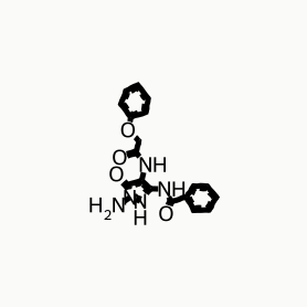 Nn1[nH]c(NC(=O)c2ccccc2)c(NC(=O)COc2ccccc2)c1=O